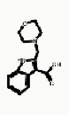 O=C(O)c1c(CN2CCOCC2)[nH]c2ccccc12